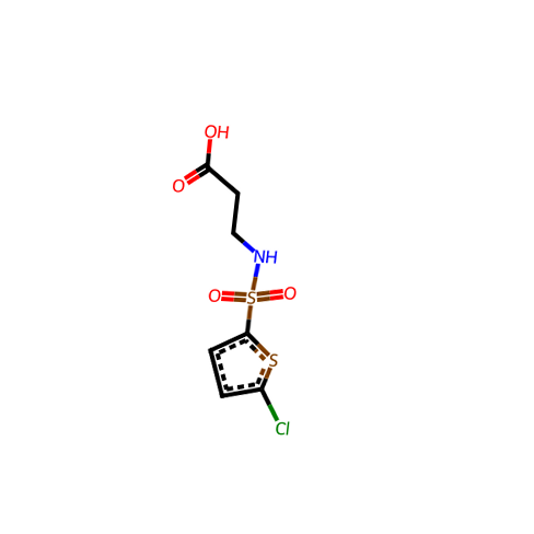 O=C(O)CCNS(=O)(=O)c1ccc(Cl)s1